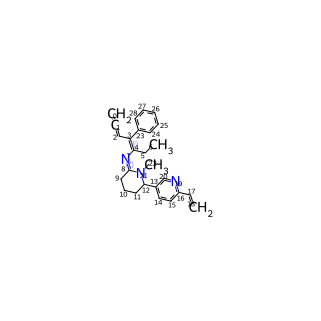 C=C=C/C(=C(CC)\N=C1\CCCC(c2ccc(C=C)nc2)N1C)c1ccccc1